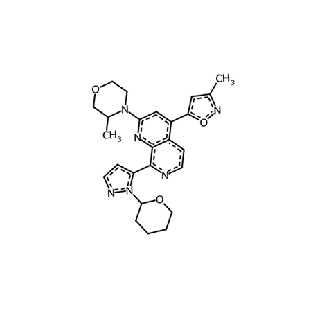 Cc1cc(-c2cc(N3CCOCC3C)nc3c(-c4ccnn4C4CCCCO4)nccc23)on1